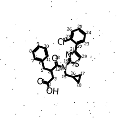 O=C(O)CC(Cc1ccccc1)C(=O)N(CC1CC1)c1nc(-c2ccccc2Cl)cs1